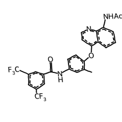 CC(=O)Nc1cccc2c(Oc3ccc(NC(=O)c4cc(C(F)(F)F)cc(C(F)(F)F)c4)cc3C)ccnc12